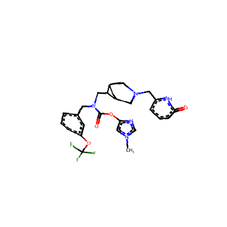 Cn1cnc(OC(=O)N(Cc2cccc(OC(F)(F)F)c2)CC2C3CN(Cc4cccc(=O)[nH]4)CC32)c1